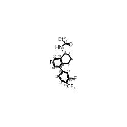 CCC(=O)N[C@@H]1CCCc2c(-c3ccc(C(F)(F)F)c(F)c3)cncc21